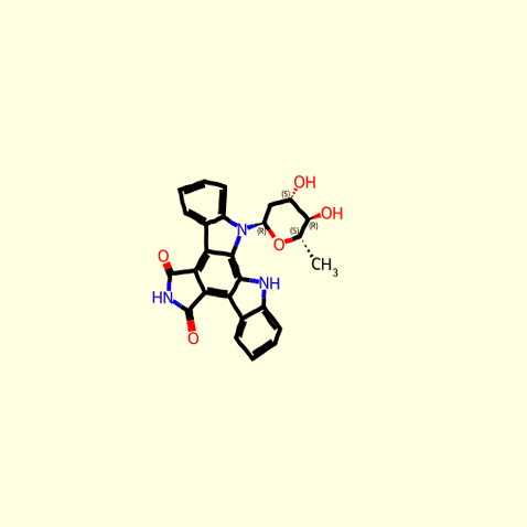 C[C@@H]1O[C@@H](n2c3ccccc3c3c4c(c5c6ccccc6[nH]c5c32)C(=O)NC4=O)C[C@H](O)[C@H]1O